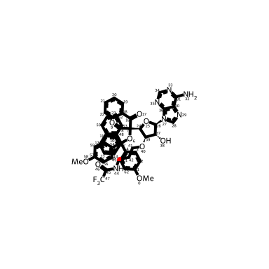 COc1ccc(C(OC(C(=O)c2ccccc2)(C(=O)c2ccccc2)[C@H]2O[C@@H](n3cnc4c(N)ncnc43)[C@H](O)[C@@H]2OCCCNC(=O)C(F)(F)F)(c2ccccc2)c2ccc(OC)cc2)cc1